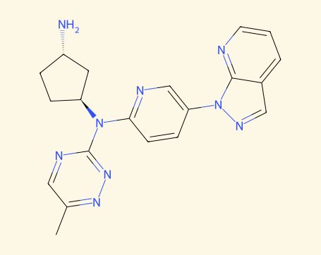 Cc1cnc(N(c2ccc(-n3ncc4cccnc43)cn2)[C@H]2CC[C@H](N)C2)nn1